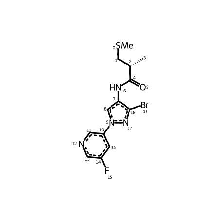 CSC[C@H](C)C(=O)Nc1cn(-c2cncc(F)c2)nc1Br